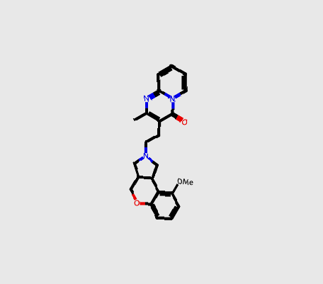 COc1cccc2c1C1CN(CCc3c(C)nc4ccccn4c3=O)CC1CO2